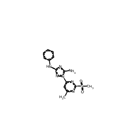 Cc1cc(-n2nc(Nc3ccccc3)nc2N)nc(S(C)(=O)=O)n1